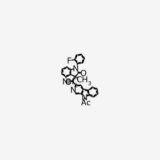 CC(=O)n1c2ccccc2c2cc(C(=O)[C@@]3(C)C(=O)N(c4ccccc4F)c4cccc(N)c43)ncc21